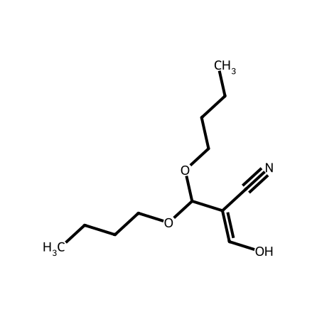 CCCCOC(OCCCC)C(C#N)=CO